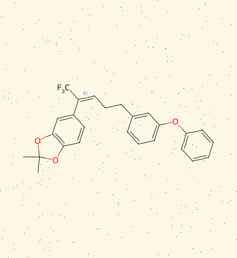 CC1(C)Oc2ccc(/C(=C\CCc3cccc(Oc4ccccc4)c3)C(F)(F)F)cc2O1